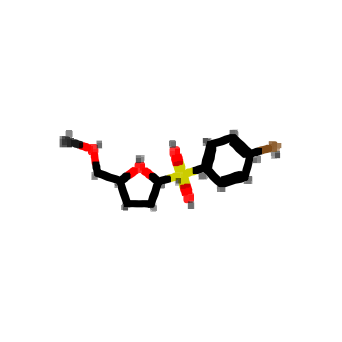 CC(C)OCC1CCC(S(=O)(=O)c2ccc(Br)cc2)O1